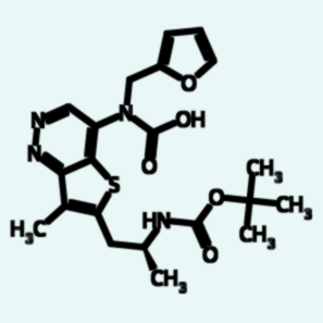 Cc1c(C[C@H](C)NC(=O)OC(C)(C)C)sc2c(N(Cc3ccco3)C(=O)O)cnnc12